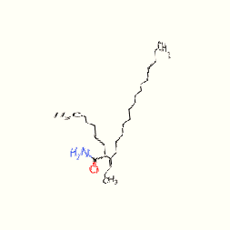 CCC=C(CCCCCCCCCCCCCCC)C(CCCCCC)C(N)=O